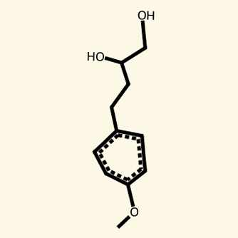 COc1ccc(CCC(O)CO)cc1